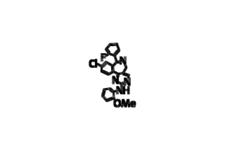 COc1ccccc1Nc1ncc2c(n1)-c1ccc(Cl)cc1C(c1ccccc1F)=NC2